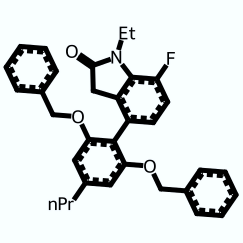 CCCc1cc(OCc2ccccc2)c(-c2ccc(F)c3c2CC(=O)N3CC)c(OCc2ccccc2)c1